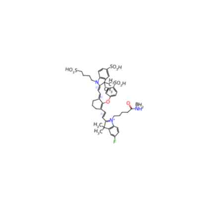 BNC(=O)CCCC[N+]1=C(/C=C/C2=C(Oc3ccc(S(=O)(=O)O)cc3)C(=C/C=C3/N(CCCCS(=O)(=O)O)c4ccc(S(=O)(=O)O)cc4C3(C)C)/CCC2)C(C)(C)c2cc(F)ccc21